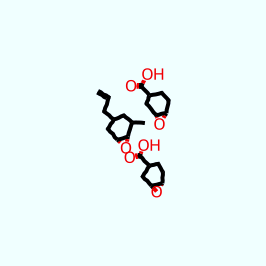 C=CCC1CC(C)C2OC2C1.O=C(O)C1CCC2OC2C1.O=C(O)C1CCC2OC2C1